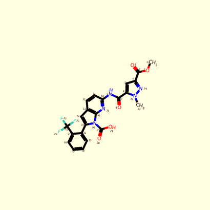 COC(=O)c1cc(C(=O)Nc2ccc3cc(-c4ccccc4C(F)(F)F)n(C(=O)O)c3n2)n(C)n1